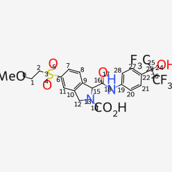 COCCS(=O)(=O)c1ccc2c(c1)CN(C(=O)O)C2C(=O)Nc1ccc(C(O)(C(F)(F)F)C(F)(F)F)cc1